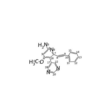 COc1cc(N)nc(C#Cc2ccccc2)c1-c1cncnc1